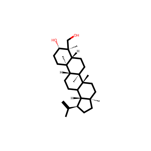 C=C(C)[C@@H]1CC[C@]2(C)CC[C@]3(C)C(CC[C@@H]4[C@@]5(C)CC[C@H](O)[C@@](C)(CO)[C@@H]5CC[C@]43C)[C@@H]12